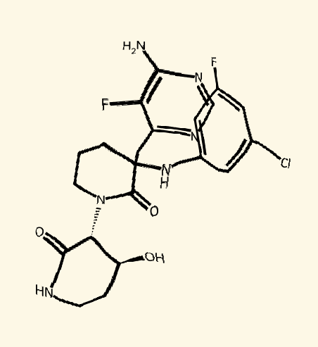 Nc1ncnc(C2(Nc3cc(F)cc(Cl)c3)CCCN([C@H]3C(=O)NCC[C@@H]3O)C2=O)c1F